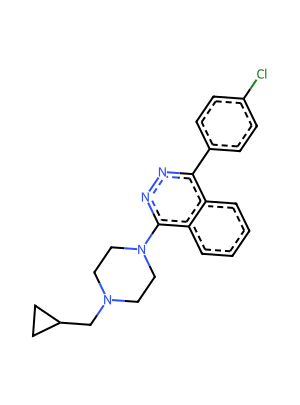 Clc1ccc(-c2nnc(N3CCN(CC4CC4)CC3)c3ccccc23)cc1